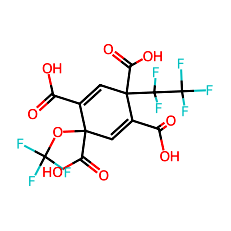 O=C(O)C1=CC(C(=O)O)(C(F)(F)C(F)(F)F)C(C(=O)O)=CC1(OC(F)(F)F)C(=O)O